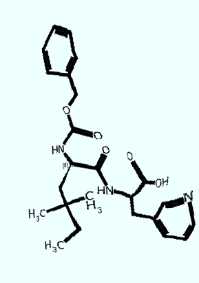 CCC(C)(C)C[C@@H](NC(=O)OCc1ccccc1)C(=O)NC(Cc1cccnc1)C(=O)O